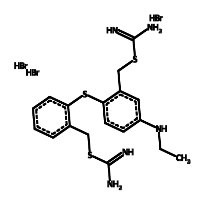 Br.Br.Br.CCNc1ccc(Sc2ccccc2CSC(=N)N)c(CSC(=N)N)c1